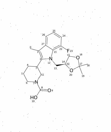 Cc1c(C2CCCN(C(=O)O)C2)n(C[C@H]2COC(C)(C)O2)c2c(F)cccc12